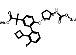 COC(=O)C(C)(C)c1ccc(O[C@@H]2CC[C@@H](NC(=O)OC(C)(C)C)C2)c(-c2cccc(F)c2C2CCC2)c1